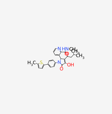 CNC(=O)c1ncccc1C1C(C(=O)CC(C)C)=C(O)C(=O)N1c1ccc(-c2ccc(C)s2)cc1